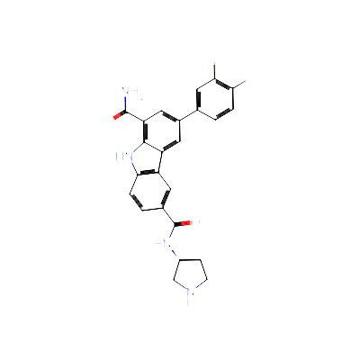 NC(=O)c1cc(-c2ccc(Cl)c(Cl)c2)cc2c1[nH]c1ccc(C(=O)N[C@H]3CCNC3)cc12